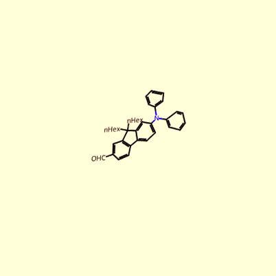 CCCCCCC1(CCCCCC)c2cc(C=O)ccc2-c2ccc(N(c3ccccc3)c3ccccc3)cc21